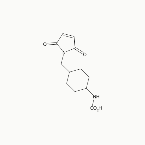 O=C(O)NC1CCC(CN2C(=O)C=CC2=O)CC1